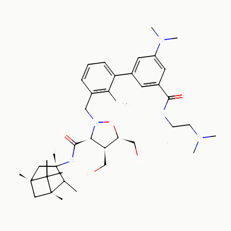 CC[C@H](C)C(CN(C)C)NC(=O)c1cc(-c2cccc(CN3O[C@@H](CO)[C@@H]([C@H](C)O)[C@H]3C(=O)N[C@H]3C[C@H]4C[C@@H]([C@@H]3C)C4(C)C)c2OC)cc(N(C)C)c1